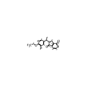 CC(c1cnc(OCC(F)(F)F)c(F)c1)N1Cc2c(ccnc2Cl)C1=O